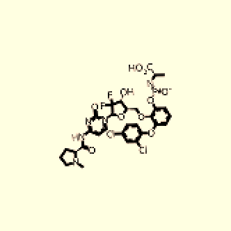 C[C@H](/N=[P+](\[O-])Oc1cccc(Oc2ccc(Cl)cc2Cl)c1OC[C@H]1OC(n2ccc(NC(=O)[C@@H]3CCCN3C)nc2=O)C(F)(F)[C@@H]1O)C(=O)O